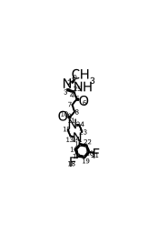 Cc1ncc(C(=O)CCC(=O)N2CCN(c3cc(F)cc(F)c3)CC2)[nH]1